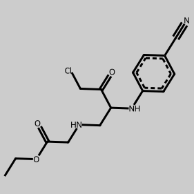 CCOC(=O)CNCC(Nc1ccc(C#N)cc1)C(=O)CCl